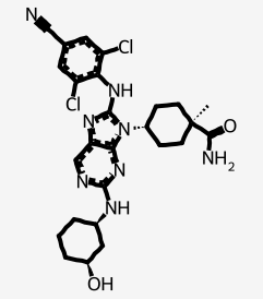 C[C@]1(C(N)=O)CC[C@H](n2c(Nc3c(Cl)cc(C#N)cc3Cl)nc3cnc(N[C@@H]4CCC[C@H](O)C4)nc32)CC1